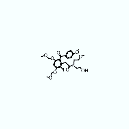 COCCN(CCO)C(=O)Cc1c(I)c(OCOC)cc(OCOC)c1C(=O)c1ccc(OC)cc1